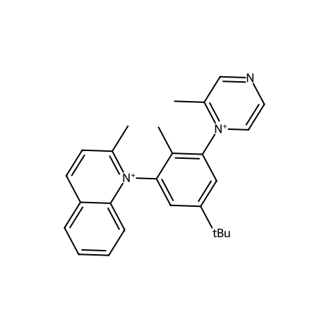 Cc1c(-[n+]2ccncc2C)cc(C(C)(C)C)cc1-[n+]1c(C)ccc2ccccc21